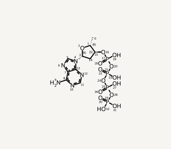 C[C@H]1O[C@@H](n2cnc3c(N)ncnc32)C[C@@H]1OP(=O)(O)OP(=O)(O)OP(=O)(O)OP(=O)(O)O